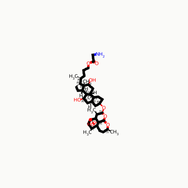 C[C@H]1[C@@H](O[C@@H]2CC[C@@]3(C)[C@@H](C2)C[C@@H](O)[C@@H]2[C@@H]3C[C@H](O)[C@]3(C)[C@@H]([C@H](C)CCCOC(=O)CN)CC[C@@H]23)OC2O[C@@H](C)CCC3[C@H](C)CC[C@@H]1[C@@]23OO